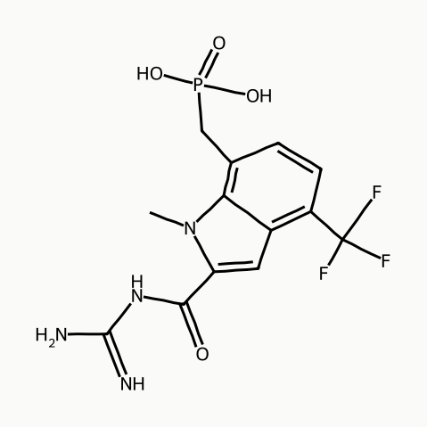 Cn1c(C(=O)NC(=N)N)cc2c(C(F)(F)F)ccc(CP(=O)(O)O)c21